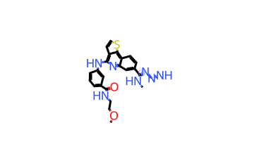 CN/C(=N\N=N)c1ccc2c(c1)nc(Nc1cccc(C(=O)NCCOC)c1)c1ccsc12